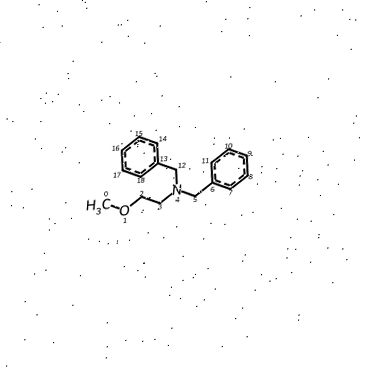 COCCN(Cc1ccccc1)Cc1ccccc1